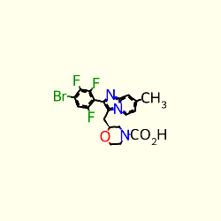 Cc1ccn2c(C[C@H]3CN(C(=O)O)CCO3)c(-c3c(F)cc(Br)c(F)c3F)nc2c1